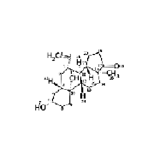 C=C[C@H]1C[C@H]2C[C@@H](O)CC[C@]2(C)[C@H]2CC[C@]3(C)C(=O)CC[C@H]3[C@H]12